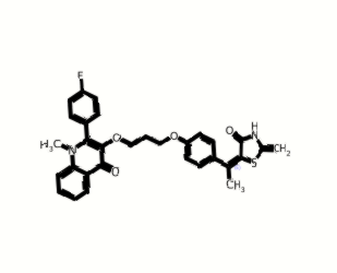 C=c1[nH]c(=O)/c(=C(/C)c2ccc(OCCCOc3c(-c4ccc(F)cc4)n(C)c4ccccc4c3=O)cc2)s1